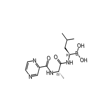 CC(C)C[C@H](NC(=O)[C@H](C)NC(=O)c1cnccn1)B(O)O